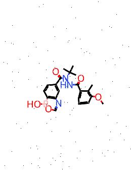 COc1cccc(C(=O)NN(C(=O)c2ccc3c(c2)N=COB3O)C(C)(C)C)c1C